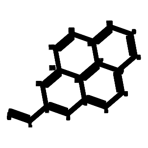 C=Cc1cc2ccc3cccc4ccc(c1)c2c34